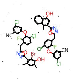 Cc1c(-c2nnc(Cc3ccc(Cl)c(Oc4cc(Cl)cc(C#N)c4)c3F)o2)cc(O)c2ccccc12.Cc1cc(C)c(-c2nnc(Cc3ccc(Cl)c(Oc4cc(Cl)cc(C#N)c4)c3F)o2)c(Br)c1O